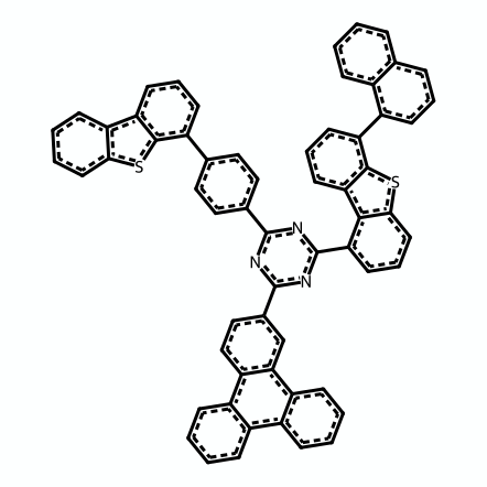 c1ccc2c(-c3cccc4c3sc3cccc(-c5nc(-c6ccc(-c7cccc8c7sc7ccccc78)cc6)nc(-c6ccc7c8ccccc8c8ccccc8c7c6)n5)c34)cccc2c1